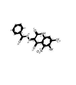 O=C1Nc2cc(C(F)(F)F)c(Br)c([N+](=O)[O-])c2C(=O)C1=NOC(=O)c1ccccc1